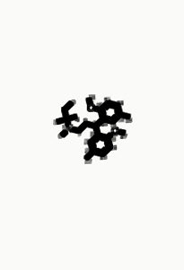 CCC(C)(C)N(C)CCC(c1cc(C)ccc1OC)c1cc(C)ccc1OC